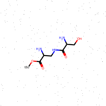 CC(C)(C)OC(=O)C(N)CNC(=O)C(N)CO